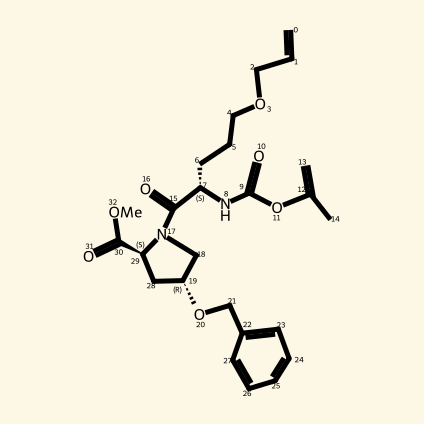 C=CCOCCC[C@H](NC(=O)OC(=C)C)C(=O)N1C[C@H](OCc2ccccc2)C[C@H]1C(=O)OC